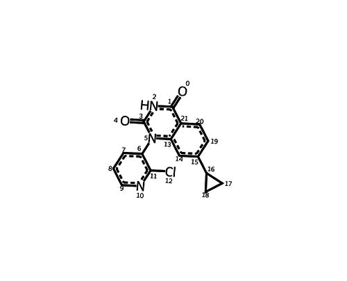 O=c1[nH]c(=O)n(-c2cccnc2Cl)c2cc(C3CC3)ccc12